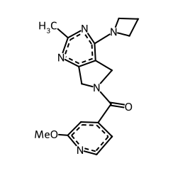 COc1cc(C(=O)N2Cc3nc(C)nc(N4CCC4)c3C2)ccn1